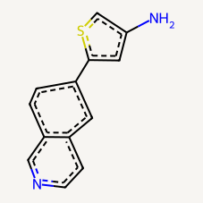 Nc1csc(-c2ccc3cnccc3c2)c1